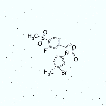 Cc1ccc(-n2c(-c3ccc(S(C)(=O)=O)c(F)c3)coc2=O)cc1Br